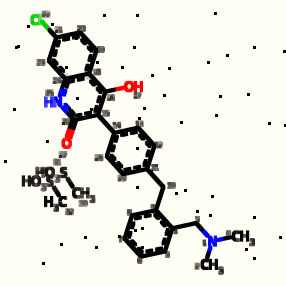 CN(C)Cc1ccccc1Cc1ccc(-c2c(O)c3ccc(Cl)cc3[nH]c2=O)cc1.CS(=O)(=O)O.CS(=O)(=O)O